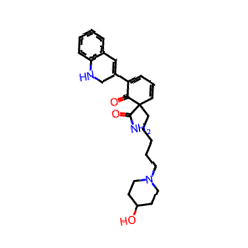 NC(=O)C1(CCCCCN2CCC(O)CC2)C=CC=C(C2=Cc3ccccc3NC2)C1=O